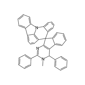 CN1C(c2ccccc2)=NC2=C(c3ccccc3C23c2ccccc2-n2c4ccccc4c4cccc3c42)C1c1ccccc1